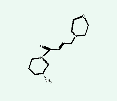 C[C@@H]1CCCN(C(=O)/C=C/CN2CCOCC2)C1